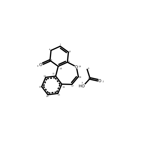 CC(=O)O.O=C1CC=CC2=C1c1ccccc1C=CO2